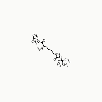 CC(C)COC(=O)[C@@H](N)CCCCNC(=O)OC(C)(C)C